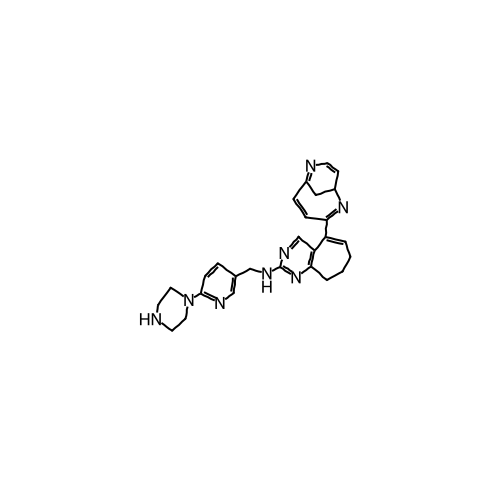 C1=CC2CC(=N1)C=CC(C1=CCCCc3nc(NCc4ccc(N5CCNCC5)nc4)ncc31)=N2